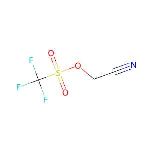 N#CCOS(=O)(=O)C(F)(F)F